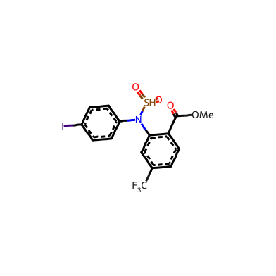 COC(=O)c1ccc(C(F)(F)F)cc1N(c1ccc(I)cc1)[SH](=O)=O